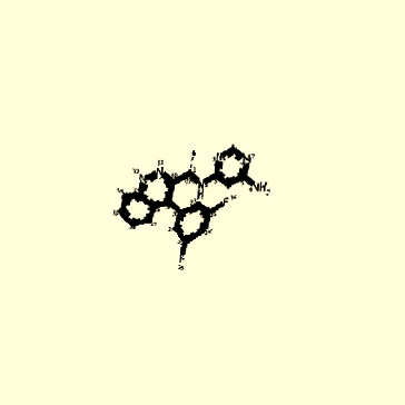 C[C@H](Nc1cc(N)ncn1)c1nnc2ccccc2c1-c1cc(F)cc(F)c1